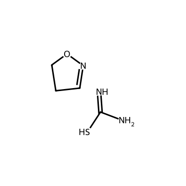 C1=NOCC1.N=C(N)S